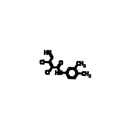 Cc1ccc(NC(=O)/C(Cl)=C(/Cl)C=N)cc1C